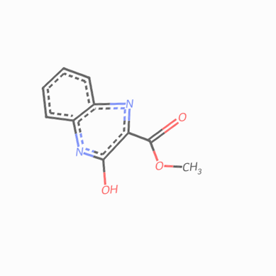 COC(=O)c1nc2ccccc2nc1O